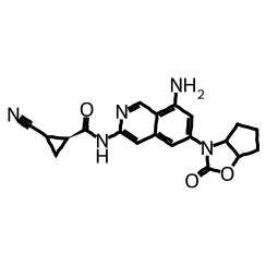 N#CC1C[C@@H]1C(=O)Nc1cc2cc(N3C(=O)OC4CCCC43)cc(N)c2cn1